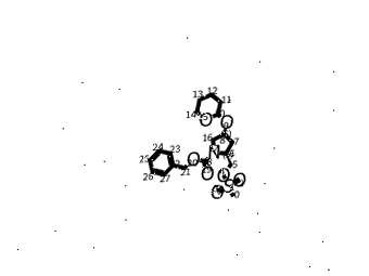 CS(=O)(=O)OC[C@@H]1C[C@H](OC2CCCCO2)CN1C(=O)OCc1ccccc1